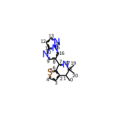 CC1c2ccsc2C(c2cnc3ccnn3c2)=NC1(C)C